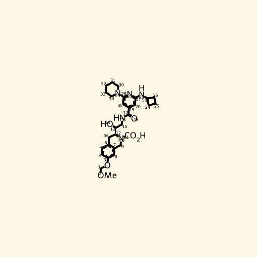 COCOc1ccc2c(c1)CN(C(=O)O)[C@H](C(O)CNC(=O)c1cc(NC3CCC3)nc(N3CCCCC3)c1)C2